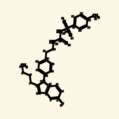 CCCCc1nc2cc(F)ccc2n1-c1ccc(CCNC(=O)NS(=O)(=O)c2ccc(C)cc2)cc1